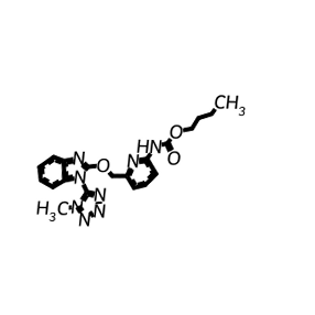 CCCCOC(=O)Nc1cccc(COc2nc3ccccc3n2-c2nnnn2C)n1